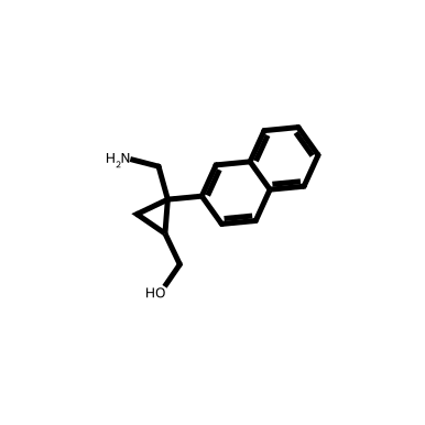 NCC1(c2ccc3ccccc3c2)CC1CO